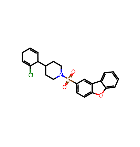 O=S(=O)(c1ccc2oc3ccccc3c2c1)N1CCC(C2C=CCC=C2Cl)CC1